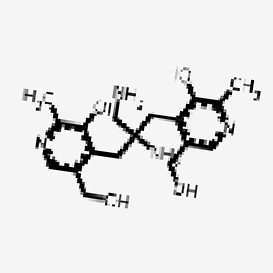 Cc1ncc(CO)c(CC(N)(CN)Cc2c(CO)cnc(C)c2O)c1O